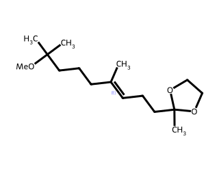 COC(C)(C)CCC/C(C)=C/CCC1(C)OCCO1